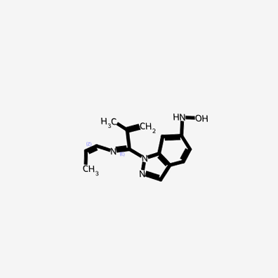 C=C(C)/C(=N\C=C/C)n1ncc2ccc(NO)cc21